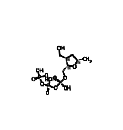 C[C@H]1C[C@H](CO)[C@@H](COP(=O)(O)OP(=O)(O)OP(=O)(O)O)O1